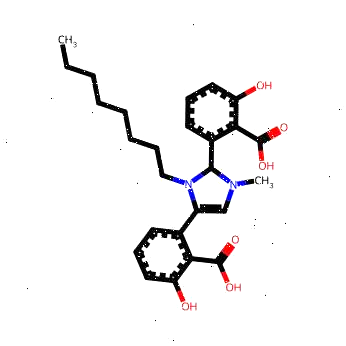 CCCCCCCCN1C(c2cccc(O)c2C(=O)O)=CN(C)C1c1cccc(O)c1C(=O)O